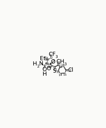 CC[C@@H](CC(F)(F)F)[C@@H](C(N)O)S(=O)(=O)c1sc2ccc(Cl)cc2c1C